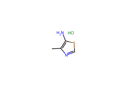 Cc1ncsc1N.Cl